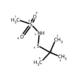 CC(C)(C)SNS(C)(=O)=O